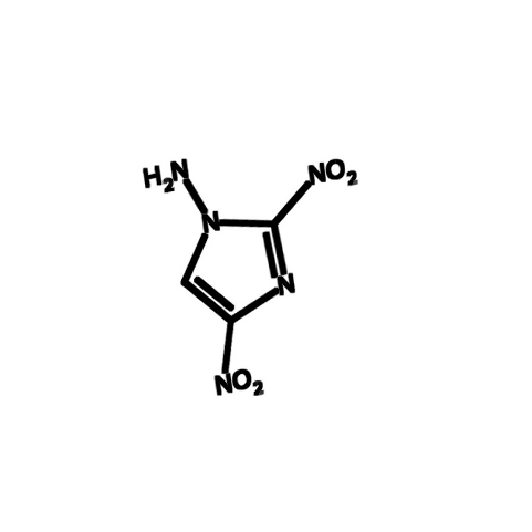 Nn1cc([N+](=O)[O-])nc1[N+](=O)[O-]